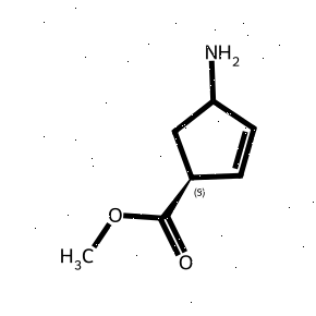 COC(=O)[C@@H]1C=CC(N)C1